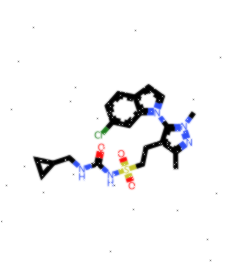 Cc1nn(C)c(-n2ccc3ccc(Cl)cc32)c1CCS(=O)(=O)NC(=O)NCC1CC1